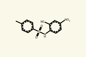 Cc1ccc(S(=O)(=O)Nc2ccc([N+](=O)[O-])cc2C#N)cc1